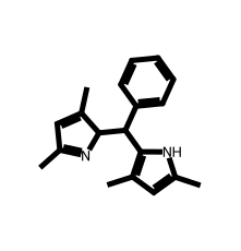 CC1=CC(C)=NC1C(c1ccccc1)c1[nH]c(C)cc1C